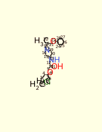 C=C(Cl)/C=C\C(=C/C)OC[C@@H](O)CNC1CCN(CC(C)COc2ccccc2)CC1